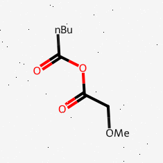 CCCCC(=O)OC(=O)COC